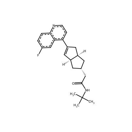 CC(C)(C)NC(=O)C[C@H]1C[C@@H]2CC(c3ccnc4ccc(F)cc34)=C[C@@H]2C1